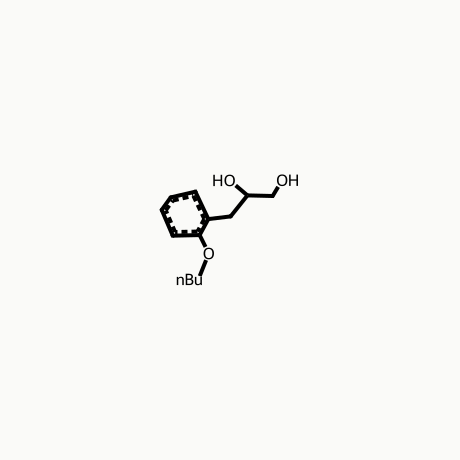 CCCCOc1ccccc1CC(O)CO